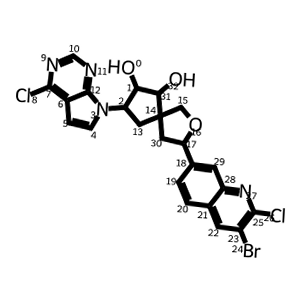 OC1C(n2ccc3c(Cl)ncnc32)CC2(COC(c3ccc4cc(Br)c(Cl)nc4c3)C2)C1O